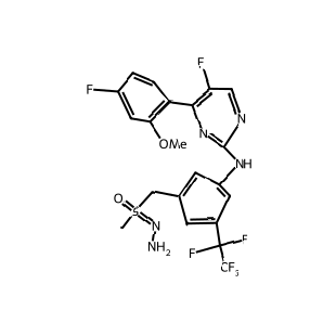 COc1cc(F)ccc1-c1nc(Nc2cc(CS(C)(=O)=NN)cc(C(F)(F)C(F)(F)F)c2)ncc1F